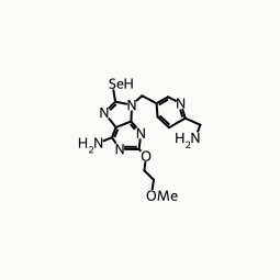 COCCOc1nc(N)c2nc([SeH])n(Cc3ccc(CN)nc3)c2n1